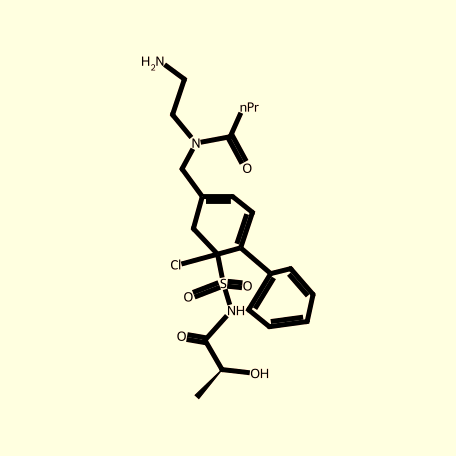 CCCC(=O)N(CCN)CC1=CC=C(c2ccccc2)C(Cl)(S(=O)(=O)NC(=O)[C@H](C)O)C1